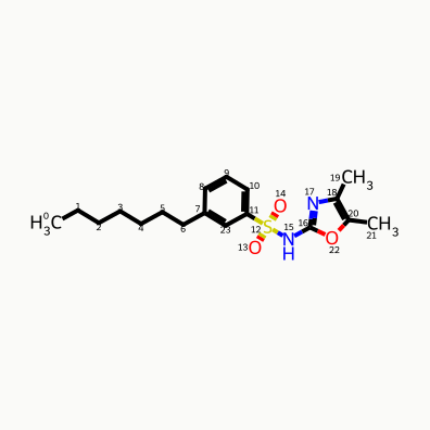 CCCCCCCc1cccc(S(=O)(=O)Nc2nc(C)c(C)o2)c1